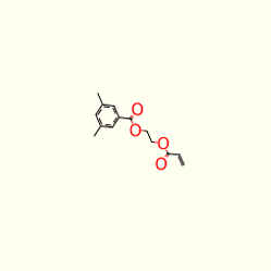 C=CC(=O)OCCOC(=O)c1cc(C)cc(C)c1